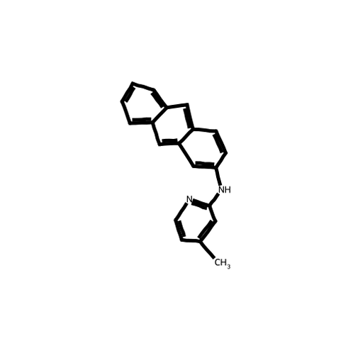 Cc1ccnc(Nc2ccc3cc4ccccc4cc3c2)c1